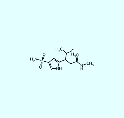 CNC(=O)CC(c1cc(S(N)(=O)=O)n[nH]1)C(C)C